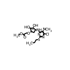 C=Nc1c(Cl)nc(SCCC)nc1N[C@@H]1C[C@H](OCC(=O)OC)[C@@H](O)[C@H]1O